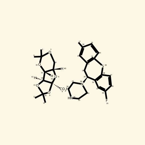 CC1(C)OC[C@@H]2O[C@@]3(C(=O)O)OC(C)(C)O[C@H]3[C@@H]2O1.Cc1ccc2c(c1)C[C@H](N1CCNCC1)c1cc(F)ccc1S2